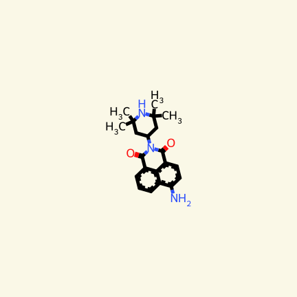 CC1(C)CC(N2C(=O)c3cccc4c(N)ccc(c34)C2=O)CC(C)(C)N1